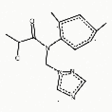 Cc1ccc(N(Cn2cncn2)C(=O)C(C)Cl)c(C)c1